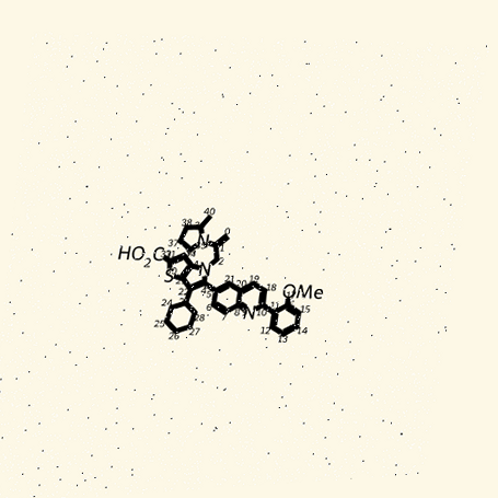 C=C(Cn1c(-c2ccc3nc(-c4ccccc4OC)ccc3c2)c(C2CCCCC2)c2sc(C(=O)O)cc21)N1CCCC1C